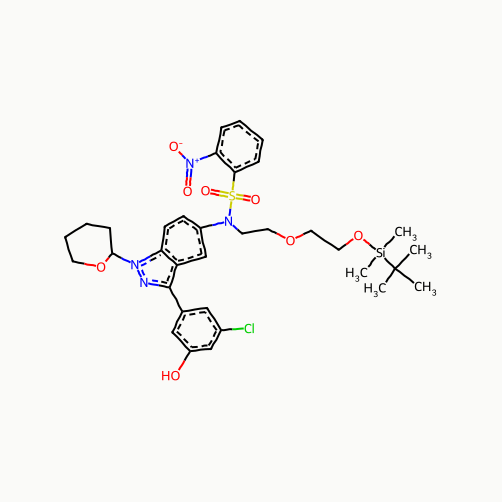 CC(C)(C)[Si](C)(C)OCCOCCN(c1ccc2c(c1)c(-c1cc(O)cc(Cl)c1)nn2C1CCCCO1)S(=O)(=O)c1ccccc1[N+](=O)[O-]